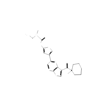 CN(CC#N)C(=O)Oc1cc(-c2cnc3[nH]cc(C(=O)C4(C)CCCCC4)c3n2)cs1